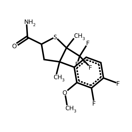 COc1c(C2(C)CC(C(N)=O)SC2(C)C(F)(F)F)ccc(F)c1F